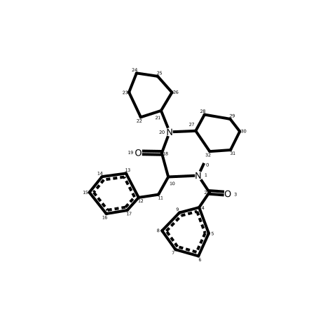 CN(C(=O)c1ccccc1)C(Cc1ccccc1)C(=O)N(C1CCCCC1)C1CCCCC1